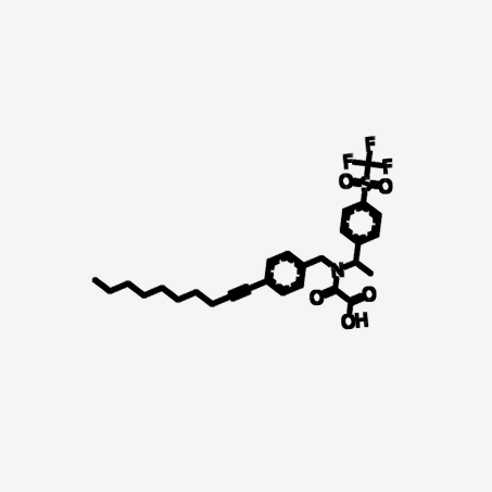 CCCCCCCCC#Cc1ccc(CN(C(=O)C(=O)O)C(C)c2ccc(S(=O)(=O)C(F)(F)F)cc2)cc1